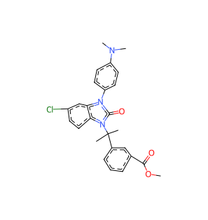 COC(=O)c1cccc(C(C)(C)n2c(=O)n(-c3ccc(N(C)C)cc3)c3cc(Cl)ccc32)c1